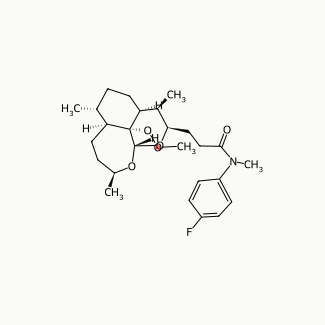 COO[C@]12[C@H]3O[C@@H](C)CC[C@H]1[C@H](C)CC[C@H]2[C@@H](C)[C@@H](CCC(=O)N(C)c1ccc(F)cc1)O3